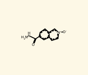 NNC(=O)c1ccc2c[n+]([O-])ccc2c1